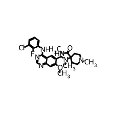 CNC(=O)C1(N(C)Cc2cc3c(Nc4cccc(Cl)c4F)ncnc3cc2OC)CCN(C)CC1